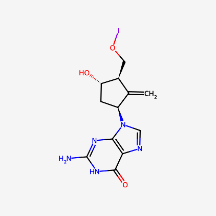 C=C1[C@H](COI)[C@@H](O)C[C@@H]1n1cnc2c(=O)[nH]c(N)nc21